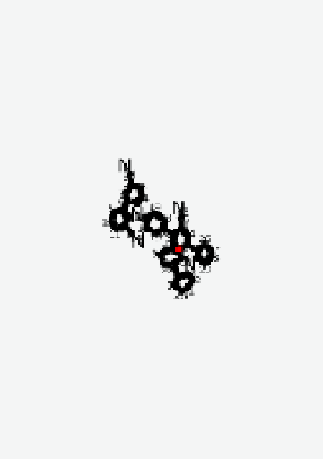 N#Cc1ccc2c(c1)c1cccc(C#N)c1n2-c1ccc(-c2ccc(-c3ccccc3-n3c4ccccc4c4ccccc43)cc2C#N)cc1